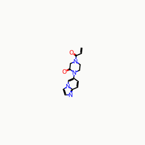 C=CC(=O)N1CCN(c2ccc3nccn3c2)C(=O)C1